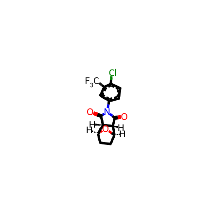 O=C1[C@@H]2[C@H](C(=O)N1c1ccc(Cl)c(C(F)(F)F)c1)[C@H]1CC[C@@H]2O1